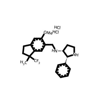 COc1cc2c(cc1CN[C@@H]1CCN[C@@H]1c1ccccc1)C(C)(C(F)(F)F)CC2.Cl.Cl